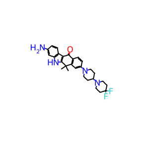 CC1(C)c2cc(N3CCC(N4CCC(F)(F)CC4)CC3)ccc2C(=O)c2c1[nH]c1cc(N)ccc21